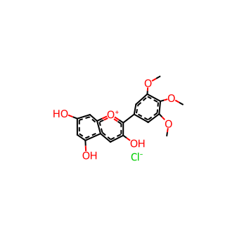 COc1cc(-c2[o+]c3cc(O)cc(O)c3cc2O)cc(OC)c1OC.[Cl-]